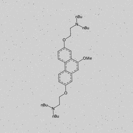 CCCCN(CCCC)CCOc1ccc2c(c1)cc(OC)c1cc(OCCN(CCCC)CCCC)ccc12